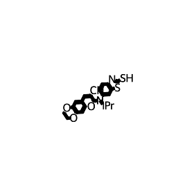 CC(C)N(C(=O)/C(C#N)=C\c1ccc2c(c1)OCCO2)c1ccc2nc(S)sc2c1